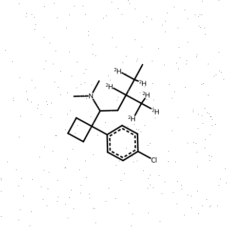 [2H]C([2H])([2H])C([2H])(CC(N(C)C)C1(c2ccc(Cl)cc2)CCC1)C([2H])([2H])C